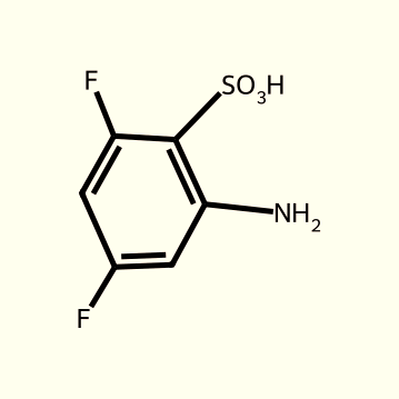 Nc1cc(F)cc(F)c1S(=O)(=O)O